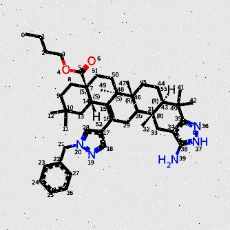 CCCCOC(=O)[C@]12CCC(C)(C)C[C@H]1C1=C(c3cnn(Cc4ccccc4)c3)CC3[C@@]4(C)Cc5c(n[nH]c5N)C(C)(C)[C@@H]4CC[C@@]3(C)[C@]1(C)CC2